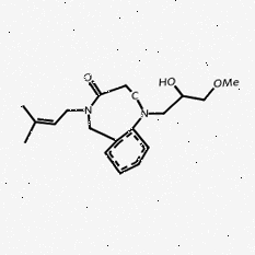 COCC(O)CN1CCC(=O)N(CC=C(C)C)Cc2ccccc21